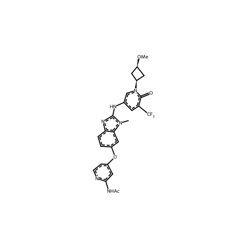 CO[C@H]1C[C@@H](n2cc(Nc3nc4ccc(Oc5ccnc(NC(C)=O)c5)cc4n3C)cc(C(F)(F)F)c2=O)C1